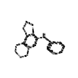 c1ccc(Nc2cc3c(c4c2CCC4)CCCC3)cc1